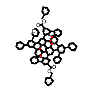 O=C(OCc1ccccc1)c1cc2c3c(c1)-c1cc(-c4c(-c5ccccc5)cc(-c5ccccc5)cc4-c4ccccc4)c4cc5c6c(cc(-c7c(-c8ccccc8)cc(-c8ccccc8)cc7-c7ccccc7)c7cc(c1c4c76)B3c1ccccc1-2)-c1cc(C(=O)OCc2ccccc2)cc2c1B5c1ccccc1-2